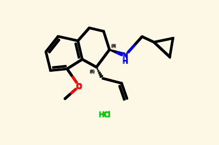 C=CC[C@@H]1c2c(cccc2OC)CC[C@H]1NCC1CC1.Cl